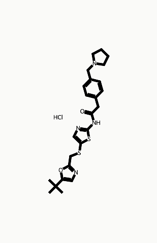 CC(C)(C)c1cnc(CSc2cnc(NC(=O)Cc3ccc(CN4CCCC4)cc3)s2)o1.Cl